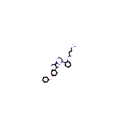 CN(C)CC=CC(=O)Nc1ccccc1C1CCNc2c(C(N)=O)c(-c3ccc(Oc4ccccc4)cc3)nn21